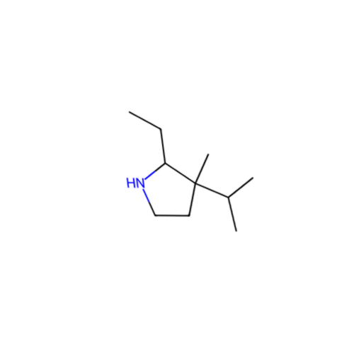 CCC1NCCC1(C)C(C)C